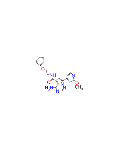 COc1cc(-c2cc(C(=O)NCCOc3ccccc3)c3c(N)ncnn23)ccn1